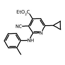 CCOC(=O)c1cc(C2CC2)nc(Nc2ccccc2C)c1C#N